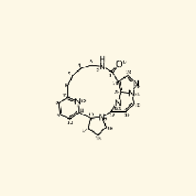 O=C1NCCCCc2cccc(n2)C2CCCN2c2ccn3ncc1c3n2